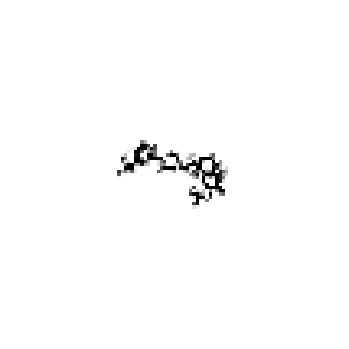 CC(=O)O[C@@H]1[C][C@@]2(O)[C@H](C=C1C)CCC[C@]2(C)[C@H](C)CN1CCN(c2nccc(C(F)(F)F)n2)CC1